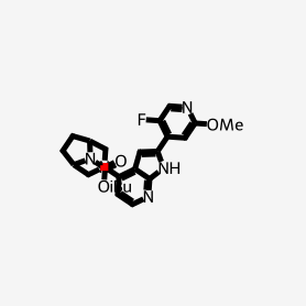 COc1cc(-c2cc3c(N4CC5CCC(C4)N5C(=O)OCC(C)C)ccnc3[nH]2)c(F)cn1